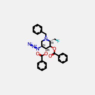 [N-]=[N+]=N[C@H]1CN(Cc2ccccc2)[C@H](CF)C(OC(=O)c2ccccc2)[C@@H]1OC(=O)c1ccccc1